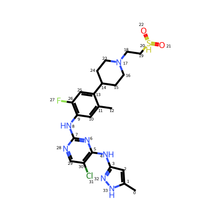 Cc1cc(Nc2nc(Nc3cc(C)c(C4CCN(CC[SH](=O)=O)CC4)cc3F)ncc2Cl)n[nH]1